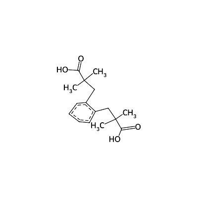 CC(C)(Cc1ccccc1CC(C)(C)C(=O)O)C(=O)O